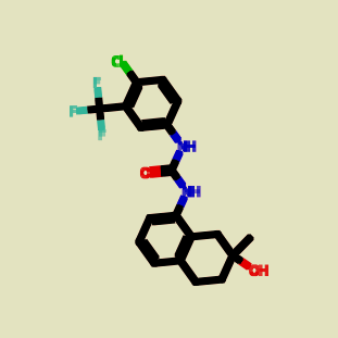 CC1(O)CCc2cccc(NC(=O)Nc3ccc(Cl)c(C(F)(F)F)c3)c2C1